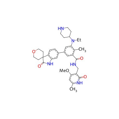 CCN(c1cc(-c2ccc3c(c2)NC(=O)C32CCOCC2)cc(C(=O)NCc2c(OC)cc(C)[nH]c2=O)c1C)C1CCNCC1